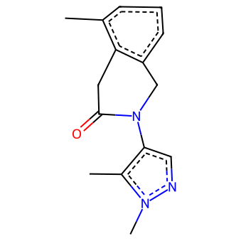 Cc1cccc2c1CC(=O)N(c1cnn(C)c1C)C2